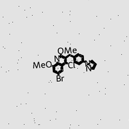 COc1nc2c(OC)cc(Br)cc2c(Cl)c1Cc1ccc(-n2cccn2)cc1